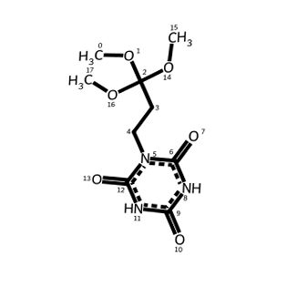 COC(CCn1c(=O)[nH]c(=O)[nH]c1=O)(OC)OC